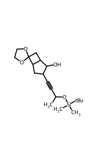 CC(C#CC1CC2C(CC23OCCO3)C1O)O[Si](C)(C)C(C)(C)C